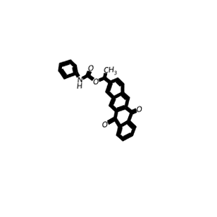 CC(OC(=O)Nc1ccccc1)c1ccc2cc3c(cc2c1)C(=O)c1ccccc1C3=O